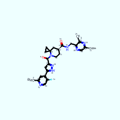 COc1cc(-c2cc(C(=O)N3CC[C@H](C(=O)NCc4ncc(OC)nc4C(F)(F)F)CC34CC4)n[nH]2)c(F)cn1